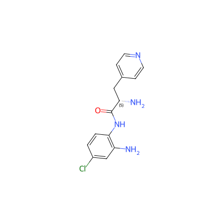 Nc1cc(Cl)ccc1NC(=O)[C@@H](N)Cc1ccncc1